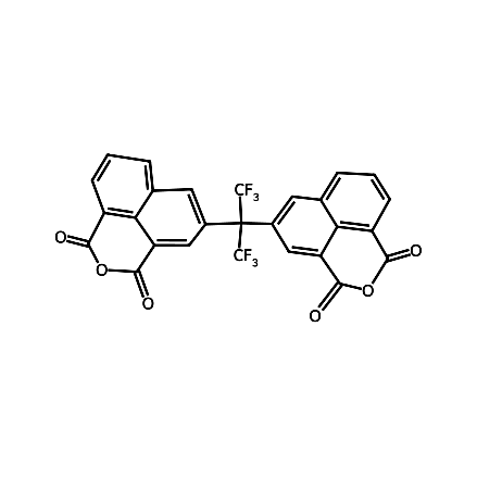 O=C1OC(=O)c2cc(C(c3cc4c5c(cccc5c3)C(=O)OC4=O)(C(F)(F)F)C(F)(F)F)cc3cccc1c23